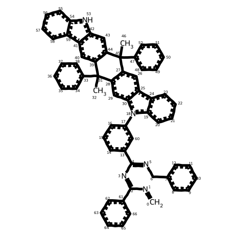 C=N/C(=N\C(=N/Cc1ccccc1)c1cccc(-n2c3ccccc3c3cc4c(cc32)C(C)(c2ccccc2)c2cc3c(cc2C4(C)c2ccccc2)[nH]c2ccccc23)c1)c1ccccc1